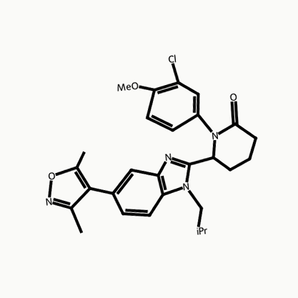 COc1ccc(N2C(=O)CCCC2c2nc3cc(-c4c(C)noc4C)ccc3n2CC(C)C)cc1Cl